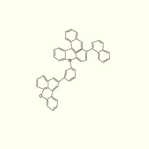 c1cc(-c2cc3c4c(cccc4c2)Oc2ccccc2-3)cc(N(c2ccc(-c3cccc4ccccc34)cc2)c2ccccc2-c2cccc3ccccc23)c1